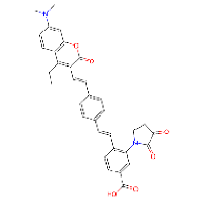 CCc1c(/C=C/c2ccc(/C=C/c3ccc(C(=O)O)cc3N3CCC(=O)C3=O)cc2)c(=O)oc2cc(N(C)C)ccc12